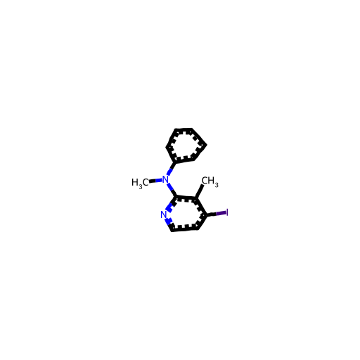 Cc1c(I)ccnc1N(C)c1ccccc1